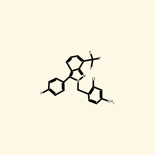 Cc1ccc(Cn2nc3c(C(F)(F)F)cccc3c2-c2ccc(F)cc2)c(Cl)c1